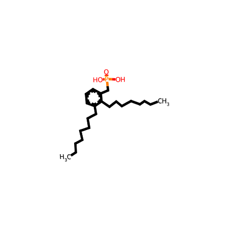 CCCCCCCCc1cccc(CP(=O)(O)O)c1CCCCCCCC